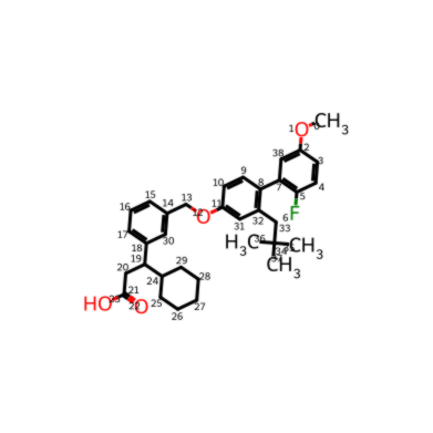 COc1ccc(F)c(-c2ccc(OCc3cccc(C(CC(=O)O)C4CCCCC4)c3)cc2CC(C)(C)C)c1